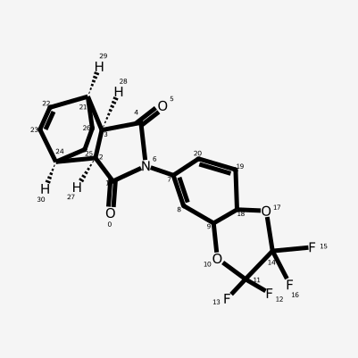 O=C1[C@@H]2[C@H](C(=O)N1C1=CC3OC(F)(F)C(F)(F)OC3C=C1)[C@@H]1C=C[C@H]2CC1